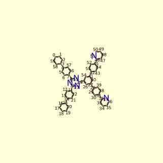 c1ccc(-c2ccc(-c3nc(-c4ccc(-c5ccccc5)cc4)nc(-c4cc(-c5ccc(-c6ccccn6)cc5)cc(-c5ccc(-c6ccccn6)cc5)c4)n3)cc2)cc1